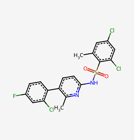 Cc1cc(Cl)cc(Cl)c1S(=O)(=O)Nc1ccc(-c2ccc(F)cc2Cl)c(C)n1